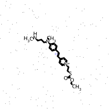 CCOC(=O)SCC[n+]1ccc(/C=C/c2ccc(N(C)CCCNC)cc2)cc1